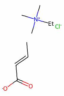 CC=CC([O])=O.CC[N+](C)(C)C.[Cl-]